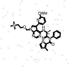 COc1cccc(-c2cn(COCC[Si](C)(C)C)c3ncnc(N[C@@H](C)c4nn5ccc(C)c5c(=O)n4-c4ccccc4)c23)n1